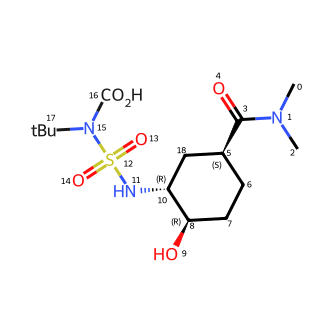 CN(C)C(=O)[C@H]1CC[C@@H](O)[C@H](NS(=O)(=O)N(C(=O)O)C(C)(C)C)C1